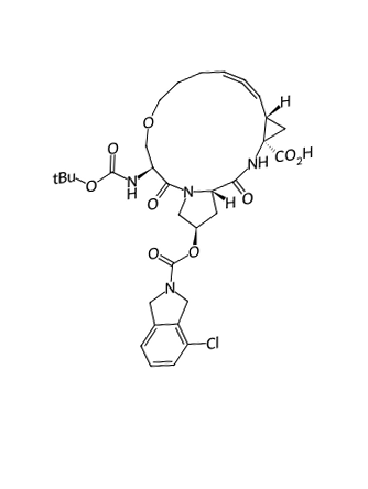 CC(C)(C)OC(=O)N[C@H]1COCCCC=C=C[C@@H]2C[C@@]2(C(=O)O)NC(=O)[C@@H]2C[C@@H](OC(=O)N3Cc4cccc(Cl)c4C3)CN2C1=O